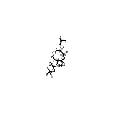 C=C(C)CO[C@@H]1COCC[C@H](NC(=O)OC(C)(C)C)C(=O)O[C@H]1C